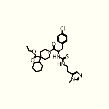 CCOC(=O)C1(C2CCCCC2)CCN(C(=O)[C@@H](Cc2ccc(Cl)cc2)NC(=S)NCCc2cncn2C)CC1